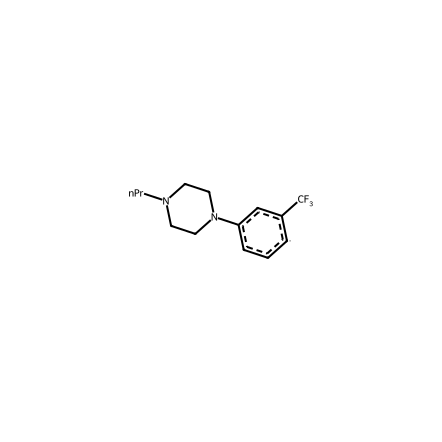 CCCN1CCN(c2cc[c]c(C(F)(F)F)c2)CC1